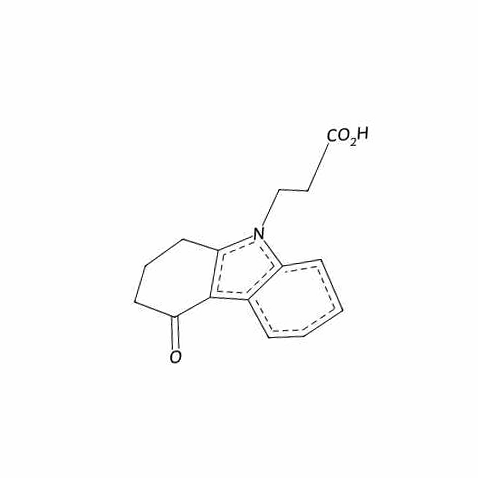 O=C(O)CCn1c2c(c3ccccc31)C(=O)CCC2